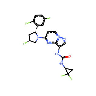 O=C(Nc1cnn2ccc(N3C[C@@H](F)C[C@@H]3c3cc(F)ccc3F)nc12)NC1CC1(F)F